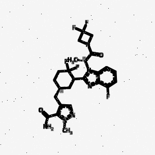 C[C@H](C(=O)N1CC(F)(F)C1)n1c(C2C[C@@H](Cc3cnn(C)c3C(N)=O)CCC2(F)F)nc2c(F)cccc21